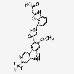 COc1cc(Cl)c(-c2cnc(C(F)(F)F)cc2C#N)cc1C(=O)CNc1cccc2nc(CC(=O)O)oc12